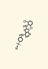 CC(C)(C#N)c1ccc(Nc2ncnc3sc(Nc4c(Cl)cccc4Cl)nc23)cc1